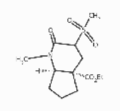 CCOC(=O)[C@]12CCC[C@H]1N(C)C(=O)C(S(C)(=O)=O)C2